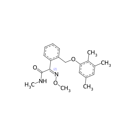 CNC(=O)/C(=N\OC)c1ccccc1COc1cc(C)cc(C)c1C